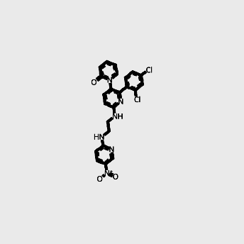 O=c1ccccn1-c1ccc(NCCNc2ccc([N+](=O)[O-])cn2)nc1-c1ccc(Cl)cc1Cl